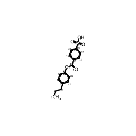 CCCc1ccc(OC(=O)c2ccc(S(=O)(=O)O)cc2)cc1